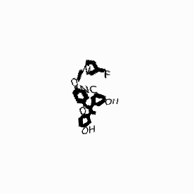 CC1=C(c2cc(O)cc(C#N)c2)C(c2ccc(OCCN3CCC(CF)C3)cc2)Oc2ccc(O)cc21